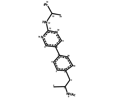 CC(=O)NC(C)Cc1ccc(-c2cnc(NC(C)C(C)C)nc2)cc1